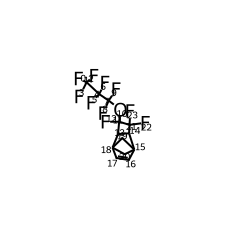 FC(F)(F)C(F)(F)C(F)(F)OC1(F)C2C(C34C=CC2(C3)C4)C1(F)F